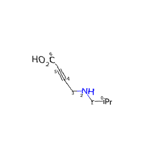 CC(C)CNCC#CC(=O)O